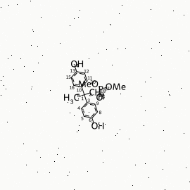 CC(C)(c1ccc(O)cc1)c1ccc(O)cc1.CO[PH](=O)OC